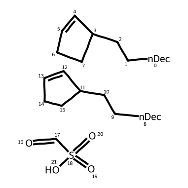 CCCCCCCCCCCCC1C=CCC1.CCCCCCCCCCCCC1C=CCC1.O=CS(=O)(=O)O